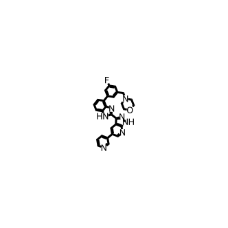 Fc1cc(CN2CCOCC2)cc(-c2cccc3[nH]c(-c4n[nH]c5ncc(-c6cccnc6)cc45)nc23)c1